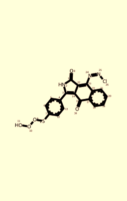 O=C1NC(c2ccc(SOOO)cc2)=C2C(=O)c3ccccc3C(/N=N\Cl)=C12